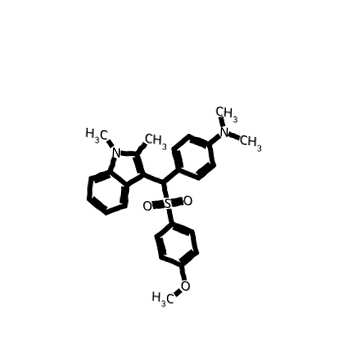 COc1ccc(S(=O)(=O)C(c2ccc(N(C)C)cc2)c2c(C)n(C)c3ccccc23)cc1